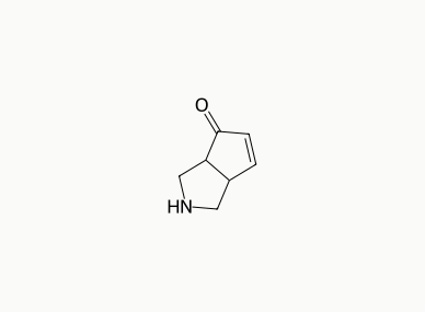 O=C1C=CC2CNCC12